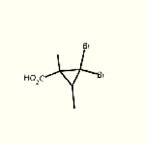 CC1C(Br)(Br)C1(C)C(=O)O